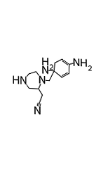 N#CCC1CNCCN1CC1(N)C=CC(N)=CC1